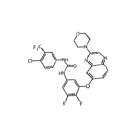 O=C(Nc1cc(F)c(F)c(Oc2ccc3ncc(N4CCOCC4)nc3c2)c1)Nc1ccc(Cl)c(C(F)(F)F)c1